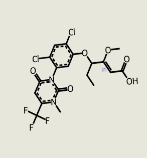 CCC(Oc1cc(-n2c(=O)cc(C(F)(F)F)n(C)c2=O)c(Cl)cc1Cl)/C(=C/C(=O)O)OC